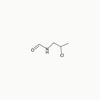 CC(Cl)CNC=O